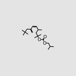 C=C(/C=C\C(C)CC(C)(C)OC(=O)OCC(C)C)CC(C)(C)C